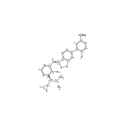 COc1ccc(F)c(-c2ccc3c(c2)CC[C@H]3Oc2cccc([C@H](C3CC3)[C@H](C)C(C)=O)c2F)c1